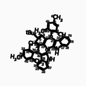 Cc1cc(C)c(B2c3cc(C(C)(C)C)cc4c3N(c3[nH]c5ccccc5c32)c2[nH]c3ccccc3c2B4c2c(C)cc(C)cc2C)c(C)c1